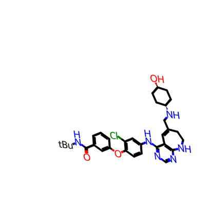 CC(C)(C)NC(=O)c1cccc(Oc2ccc(Nc3ncnc4c3C=C(CN[C@H]3CC[C@H](O)CC3)CCN4)cc2Cl)c1